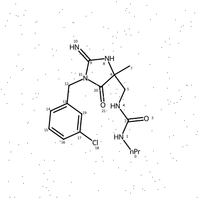 CCCNC(=O)NCC1(C)NC(=N)N(Cc2cccc(Cl)c2)C1=O